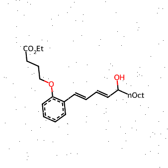 CCCCCCCCC(O)C=C/C=C/c1ccccc1OCCCC(=O)OCC